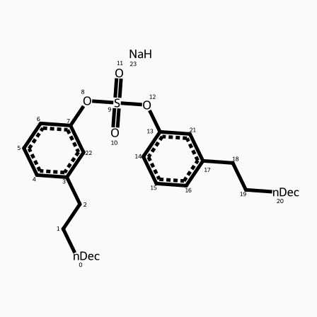 CCCCCCCCCCCCc1cccc(OS(=O)(=O)Oc2cccc(CCCCCCCCCCCC)c2)c1.[NaH]